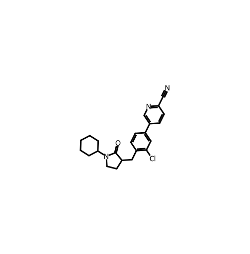 N#Cc1ccc(-c2ccc(CC3CCN(C4CCCCC4)C3=O)c(Cl)c2)cn1